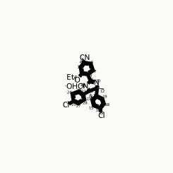 CCOc1cc(C#N)ccc1C1=N[C@@](C)(c2ccc(Cl)cc2)[C@@](C)(c2ccc(Cl)cc2)N1[C]=O